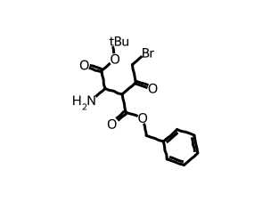 CC(C)(C)OC(=O)C(N)C(C(=O)CBr)C(=O)OCc1ccccc1